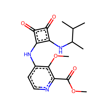 COC(=O)c1nccc(Nc2c(NC(C)C(C)C)c(=O)c2=O)c1OC